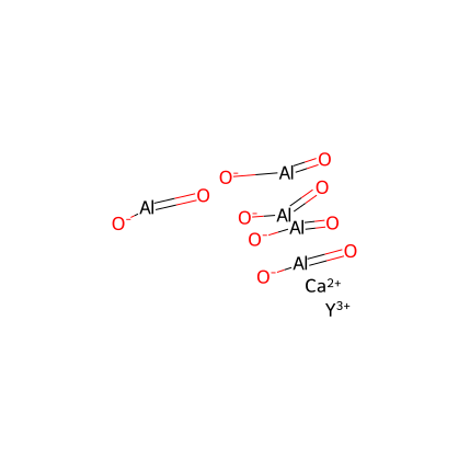 [Ca+2].[O]=[Al][O-].[O]=[Al][O-].[O]=[Al][O-].[O]=[Al][O-].[O]=[Al][O-].[Y+3]